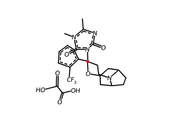 Cc1nc(=O)n(CCCN2C3CCC2CC(OCc2ccccc2C(F)(F)F)C3)c(=O)n1C.O=C(O)C(=O)O